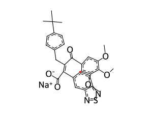 COc1cc(C(=O)/C(Cc2ccc(C(C)(C)C)cc2)=C(/C(=O)[O-])c2ccc3nsnc3c2)cc(OC)c1OC.[Na+]